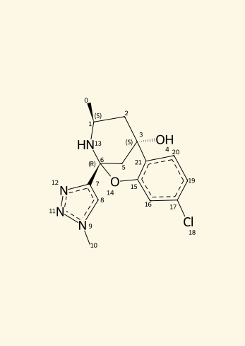 C[C@H]1C[C@]2(O)C[C@@](c3cn(C)nn3)(N1)Oc1cc(Cl)ccc12